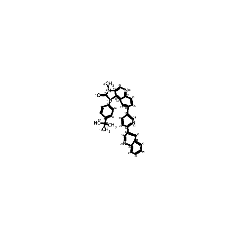 Cn1c(=O)n(-c2ccc(C(C)(C)C#N)cc2)c2c3cc(-c4ccc(-c5cnc6ccccc6c5)nc4)ccc3ncc21